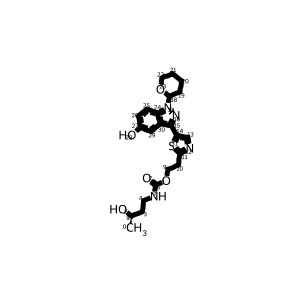 C[C@H](O)CCNC(=O)OCCc1ncc(-c2nn(C3CCCCO3)c3ccc(O)cc23)s1